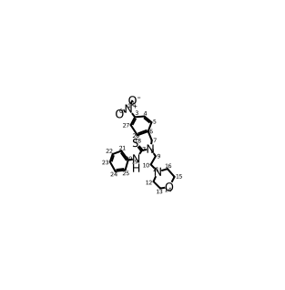 O=[N+]([O-])c1ccc(CN(CCN2CCOCC2)C(=S)Nc2ccccc2)cc1